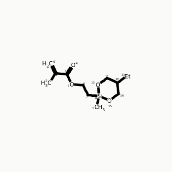 C=C(C)C(=O)OCC[Si]1(C)OCC(CC)CO1